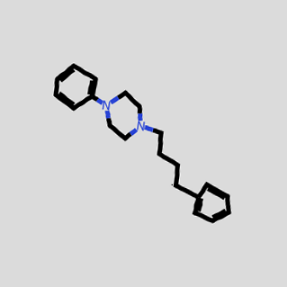 [CH](CCCN1CCN(c2ccccc2)CC1)c1ccccc1